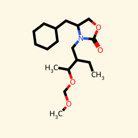 CCC(CN1C(=O)OCC1CC1CCCCC1)C(C)OCOC